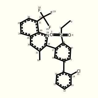 CCS(=O)(=O)c1ccc(-c2ccccc2Cl)cc1-c1nc2c(C(F)(F)F)cccc2cc1C